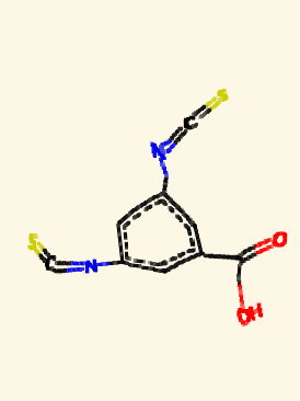 O=C(O)c1cc(N=C=S)cc(N=C=S)c1